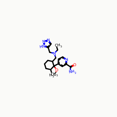 CCN(Cc1cnn[nH]1)CC1CCCC(C)C1(OC)c1ccnc(C(N)=O)c1